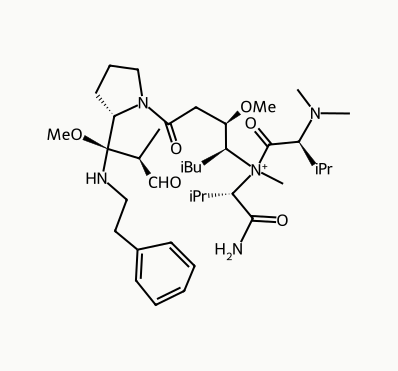 CCC(C)[C@@H]([C@@H](CC(=O)N1CCC[C@H]1[C@](NCCc1ccccc1)(OC)[C@@H](C)C=O)OC)[N+](C)(C(=O)[C@H](C(C)C)N(C)C)[C@H](C(N)=O)C(C)C